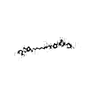 CN(CCCCCCNC(=O)CC(=O)Nc1cccc(Sc2ncc(N3CCC(C)(N)CC3)nc2N)c1)c1ccc2c(c1)C(=O)N(C1CCC(=O)NC1=O)C2=O